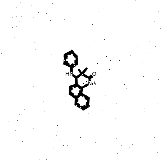 CC1(C)C(=O)Nc2c(ccc3ccccc23)C1Nc1ccccc1